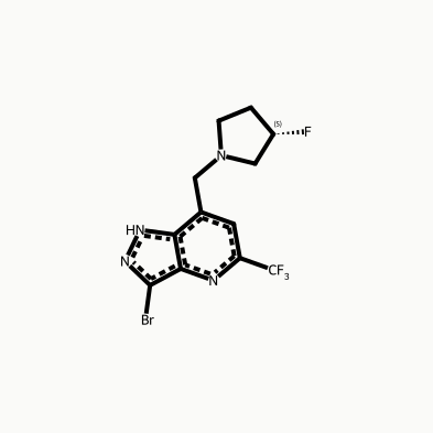 F[C@H]1CCN(Cc2cc(C(F)(F)F)nc3c(Br)n[nH]c23)C1